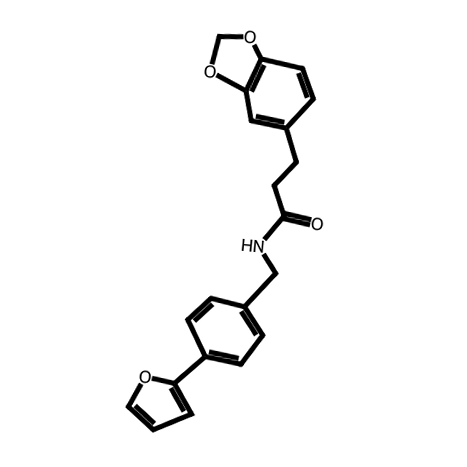 O=C(CCc1ccc2c(c1)OCO2)NCc1ccc(-c2ccco2)cc1